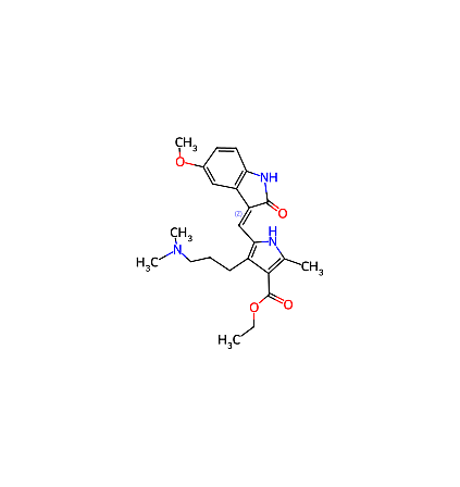 CCOC(=O)c1c(C)[nH]c(/C=C2\C(=O)Nc3ccc(OC)cc32)c1CCCN(C)C